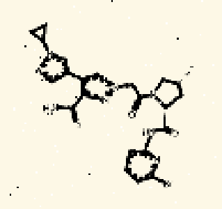 NC(=O)c1nn(CC(=O)N2C[C@H](F)C[C@H]2C(=O)Nc2cccc(Br)n2)cc1-c1cnn(C2CC2)c1